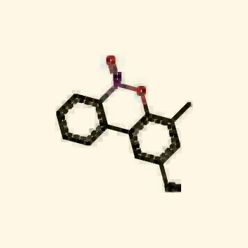 Cc1cc(C(C)(C)C)cc2c1O[PH](=O)c1ccccc1-2